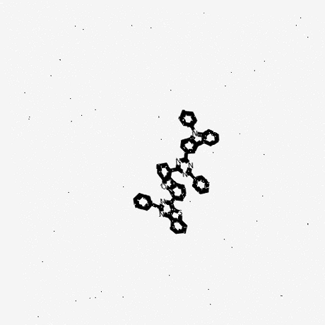 c1ccc(-c2nc(-c3ccc4c(c3)c3ccccc3n4-c3ccccc3)nc(-c3cccc4oc5c(-c6nc(-c7ccccc7)nc7c6sc6ccccc67)cccc5c34)n2)cc1